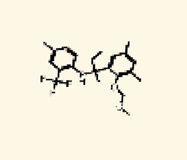 CCC(C)(Pc1ccc(C)cc1C(F)(F)F)c1cc(C)cc(C)c1OCOC